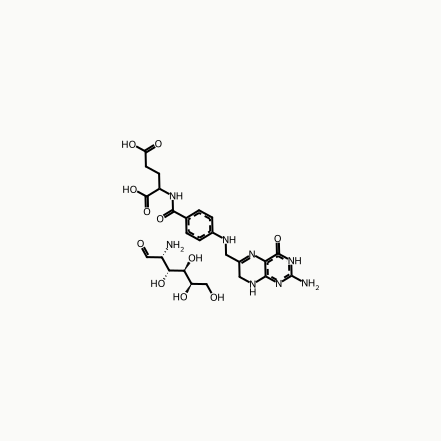 N[C@@H](C=O)[C@@H](O)[C@@H](O)[C@H](O)CO.Nc1nc2c(c(=O)[nH]1)N=C(CNc1ccc(C(=O)NC(CCC(=O)O)C(=O)O)cc1)CN2